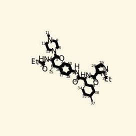 CCC(=O)N[C@@H](C(=O)N1CCN(C)CC1)[C@@H](C)c1ccc(NC(=O)[C@@H](NC(=O)c2ccnn2CC)[C@H]2CC[C@H](C)CC2)cc1